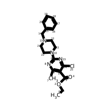 CCOC(=O)c1c(C)nc(N2CCN(Cc3ccccc3)CC2)nc1Cl